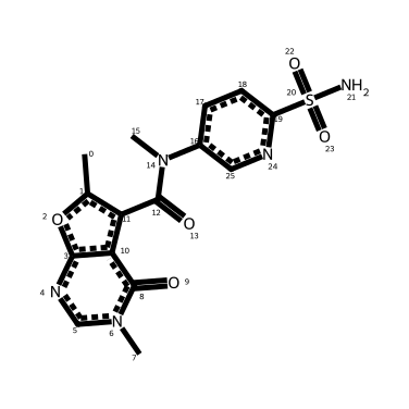 Cc1oc2ncn(C)c(=O)c2c1C(=O)N(C)c1ccc(S(N)(=O)=O)nc1